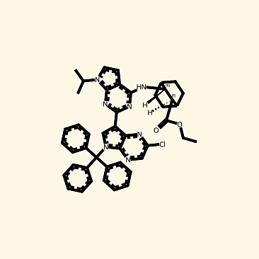 CCOC(=O)[C@@H]1C2CCC(CC2)[C@H]1Nc1nc(-c2cn(C(c3ccccc3)(c3ccccc3)c3ccccc3)c3ncc(Cl)nc23)nc2c1ccn2C(C)C